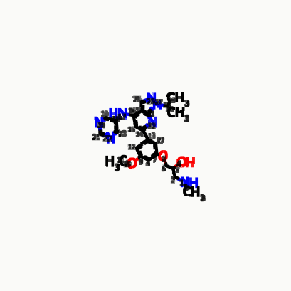 CNCC(O)COc1cc(OC)cc(-c2cc(Nc3cncnc3)c3cnn(C(C)C)c3n2)c1